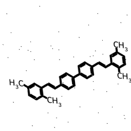 Cc1ccc(C)c(C=Cc2ccc(-c3ccc(C=Cc4cc(C)ccc4C)cc3)cc2)c1